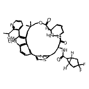 CCn1c(-c2cccnc2[C@H](C)OC)c2c3cc(ccc31)-c1csc(n1)C[C@H](NC(=O)[C@H]1[C@@H]3CC(F)(F)C[C@@H]31)C(=O)N1CCC[C@H](N1)C(=O)OCC(C)(C)C2